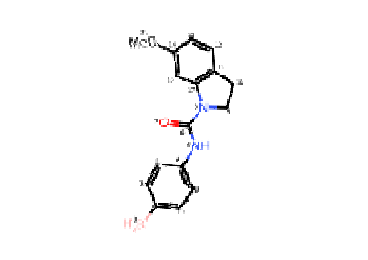 Bc1ccc(NC(=O)N2CCc3ccc(OC)cc32)cc1